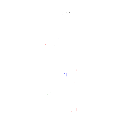 COc1cc(NC(=O)C2CCC(N3Cc4c(Br)cc(O)cc4OC3=O)CC2)ccc1C